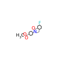 COC(=O)c1ccc(N2CCc3ccc(F)cc3C2=O)cc1